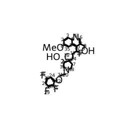 COc1ccc2ncc(CO)c(C(F)CCC3(C(=O)O)CCN(CCOc4cc(F)cc(F)c4F)CC3)c2c1